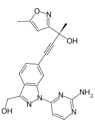 Cc1cc([C@](C)(O)C#Cc2ccc3c(CO)nn(-c4ccnc(N)n4)c3c2)no1